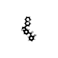 O=C(c1ccc2occ(C3=CCN4CCCCC4C3)c2c1)c1ccccc1Br